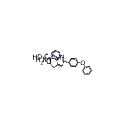 CC1=C\C(C(=O)O)=CC/C(c2ccccc2ON)=C/C(c2ccc(Oc3ccccc3)cc2)=N\1